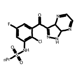 CCCS(=O)(=O)Nc1cc(F)cc(C(=O)C2=NNC3N=CC=NC23)c1Cl